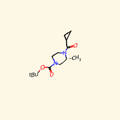 C[C@@H]1CN(C(=O)OC(C)(C)C)CCN1C(=O)C1CC1